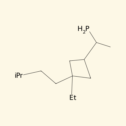 CCC1(CCC(C)C)CC(C(C)P)C1